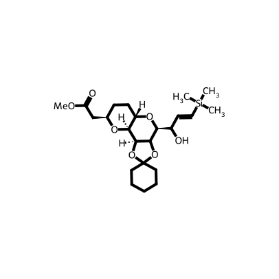 COC(=O)C[C@H]1CC[C@@H]2O[C@@H](C(O)C=C[Si](C)(C)C)C3OC4(CCCCC4)O[C@H]3[C@H]2O1